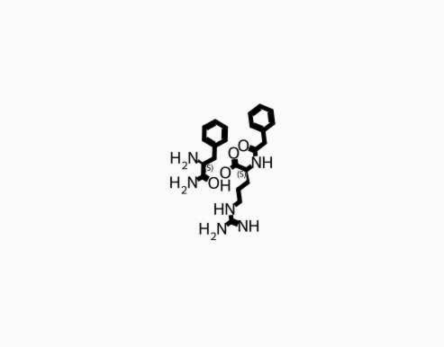 N=C(N)NCCC[C@H](NC(=O)Cc1ccccc1)C(=O)O.NC(=O)[C@@H](N)Cc1ccccc1